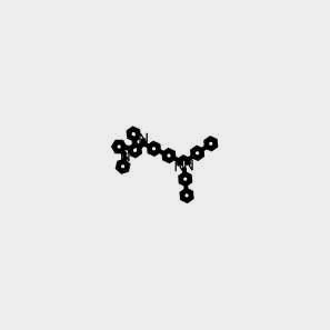 c1ccc(-c2ccc(-c3cc(-c4ccc(-c5ccc(-c6nc7ccccc7c7c6ccc6c7c7ccccc7n6-c6ccccc6)cc5)cc4)nc(-c4ccc(-c5ccccc5)cc4)n3)cc2)cc1